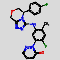 Cc1cc(F)c(-n2ncccc2=O)cc1Nc1nnc2n1[C@H](c1ccc(F)cc1)COC2